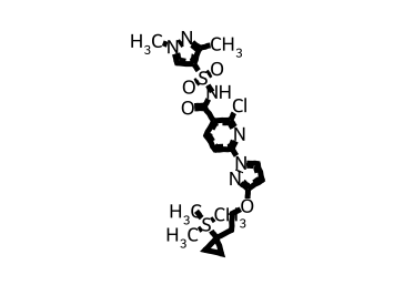 Cc1nn(C)cc1S(=O)(=O)NC(=O)c1ccc(-n2ccc(OCCC3(S(C)(C)C)CC3)n2)nc1Cl